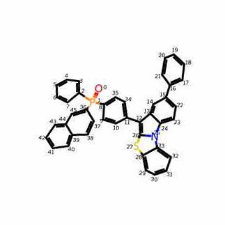 O=P(c1ccccc1)(c1ccc(-c2c3cc(-c4ccccc4)ccc3n3c2sc2ccccc23)cc1)c1ccc2ccccc2c1